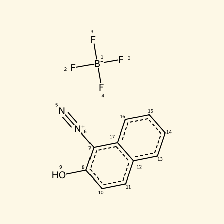 F[B-](F)(F)F.N#[N+]c1c(O)ccc2ccccc12